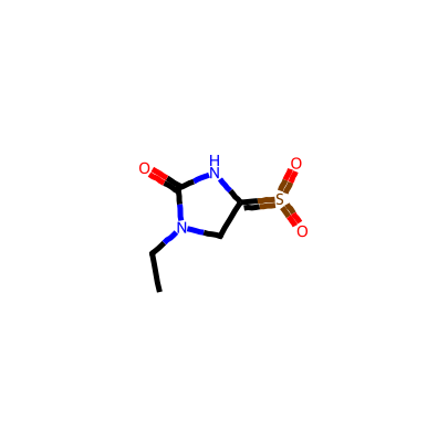 CCN1CC(=S(=O)=O)NC1=O